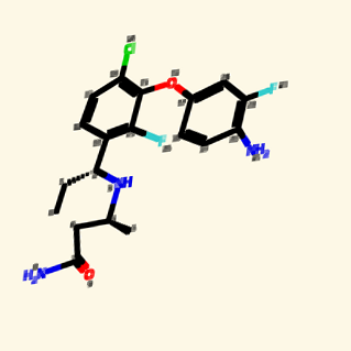 CC[C@@H](N[C@@H](C)CC(N)=O)c1ccc(Cl)c(Oc2ccc(N)c(F)c2)c1F